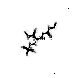 CCOC(=O)CN[C@H](COS(C)(=O)=O)C(=O)OC